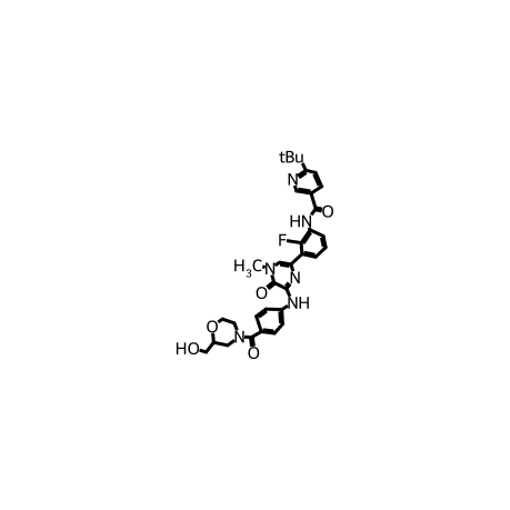 Cn1cc(-c2cccc(NC(=O)c3ccc(C(C)(C)C)nc3)c2F)nc(Nc2ccc(C(=O)N3CCOC(CO)C3)cc2)c1=O